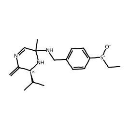 C=C1N=CC(C)(NCc2ccc([S+]([O-])CC)cc2)N[C@H]1C(C)C